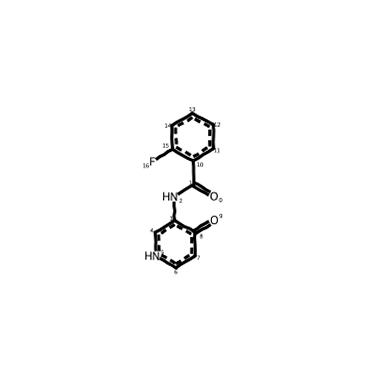 O=C(Nc1c[nH]ccc1=O)c1ccccc1F